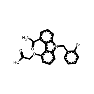 NC(=O)c1cccc2c1c1c(OCC(=O)O)cccc1n2Cc1ccccc1Br